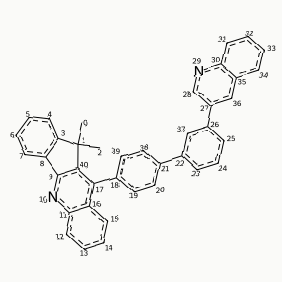 CC1(C)c2ccccc2-c2nc3ccccc3c(-c3ccc(-c4cccc(-c5cnc6ccccc6c5)c4)cc3)c21